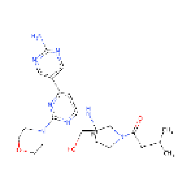 CC(C)CC(=O)N1CC[C@](CO)(Nc2cc(-c3cnc(N)nc3)nc(N3CCOCC3)n2)C1